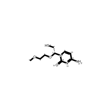 COCCO[C@H](CS)n1ccc(N)nc1=O